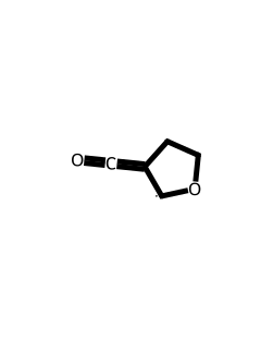 O=C=C1[CH]OCC1